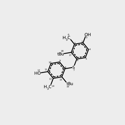 Cc1c(O)ccc(Sc2ccc(O)c(C)c2C(C)(C)C)c1C(C)(C)C